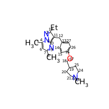 CCc1nn2c(C)cc(C)nc2c1Cc1ccc(OCC2CCN(C)CC2)cc1